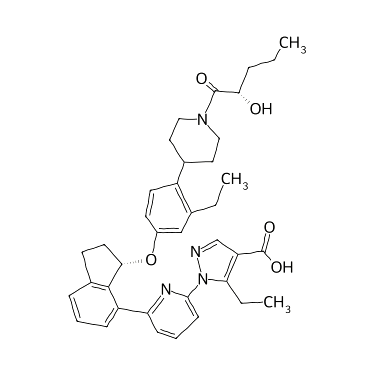 CCC[C@H](O)C(=O)N1CCC(c2ccc(O[C@H]3CCc4cccc(-c5cccc(-n6ncc(C(=O)O)c6CC)n5)c43)cc2CC)CC1